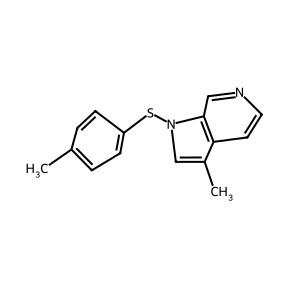 Cc1ccc(Sn2cc(C)c3ccncc32)cc1